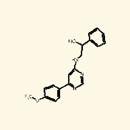 OC(CNc1cc(-c2ccc(OC(F)(F)F)cc2)ncn1)c1ccccc1